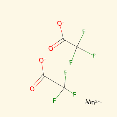 O=C([O-])C(F)(F)F.O=C([O-])C(F)(F)F.[Mn+2]